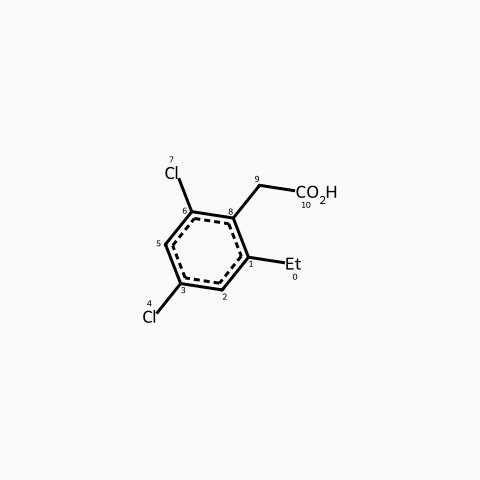 CCc1cc(Cl)cc(Cl)c1CC(=O)O